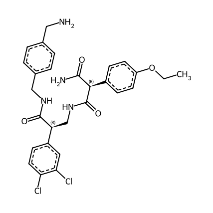 CCOc1ccc([C@H](C(N)=O)C(=O)NC[C@H](C(=O)NCc2ccc(CN)cc2)c2ccc(Cl)c(Cl)c2)cc1